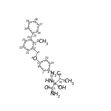 Cc1c(COc2ccc(CNC(O)(C(N)=O)C(C)C)cc2)cccc1-c1ccccc1